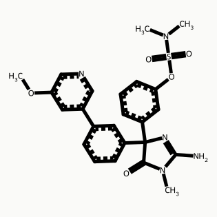 COc1cncc(-c2cccc(C3(c4cccc(OS(=O)(=O)N(C)C)c4)N=C(N)N(C)C3=O)c2)c1